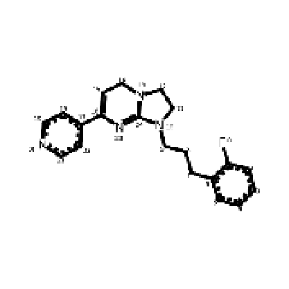 Fc1ccccc1CCCN1CCN2CC=C(c3ccncc3)N=C21